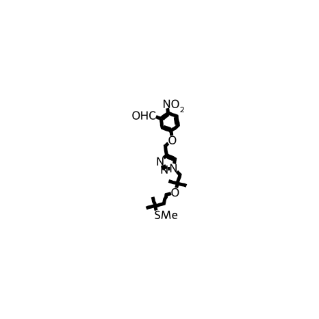 CSC(C)(C)CCOC(C)(C)Cn1cc(COc2ccc([N+](=O)[O-])c(C=O)c2)nn1